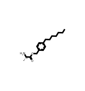 CCCCCCCc1ccc(COC(=O)[C@H](C)N)cc1